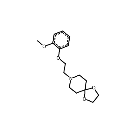 COc1ccccc1OCCN1CCC2(CC1)OCCO2